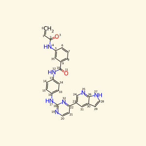 C=CC(=O)Nc1cccc(C(=O)Nc2ccc(Nc3nccc(-c4cnc5[nH]ccc5c4)n3)cc2)c1